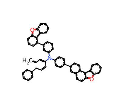 C=C/C=C(\C=C/Cc1ccccc1)N(c1ccc(-c2ccc3c(ccc4oc5ccccc5c43)c2)cc1)c1cccc(-c2cccc3oc4ccccc4c23)c1